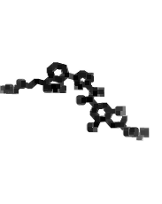 CCCCOCCCc1cccc(-c2csc(NC(=O)c3cc(Cl)c(C=C(C)C(=O)O)c(Cl)c3)n2)c1OC